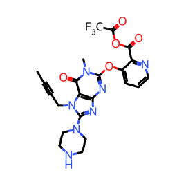 CC#CCn1c(N2CCNCC2)nc2nc(Oc3cccnc3C(=O)OC(=O)C(F)(F)F)n(C)c(=O)c21